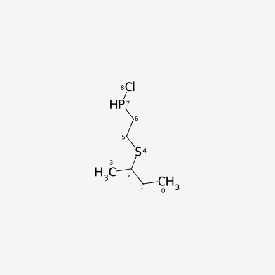 CCC(C)SCCPCl